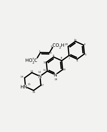 O=C(O)/C=C/C(=O)O.c1ccc(-c2ccc(N3CCNCC3)nc2)cc1